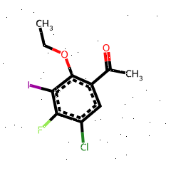 CCOc1c(C(C)=O)cc(Cl)c(F)c1I